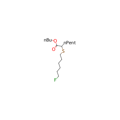 CCCCCC(SCCCCCCF)C(=O)OCCCC